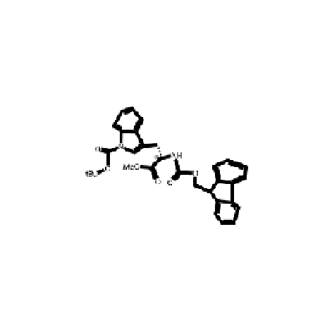 COC(=O)[C@H](Cc1cn(C(=O)OC(C)(C)C)c2ccccc12)NC(=O)OCC1c2ccccc2-c2ccccc21